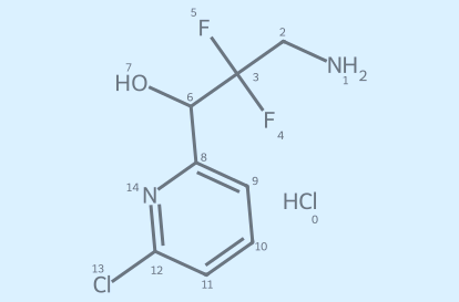 Cl.NCC(F)(F)C(O)c1cccc(Cl)n1